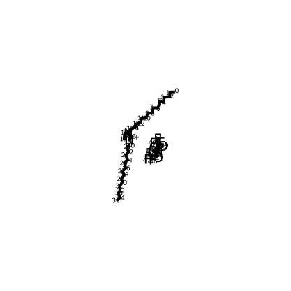 CCCCCCCCCCCCCCCCn1cc[n+](CCCCCCCCCCCCCCCC)c1.O=S(=O)([N-]S(=O)(=O)C(F)(F)F)C(F)(F)F